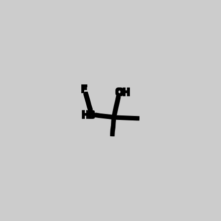 CC(C)(O)BF